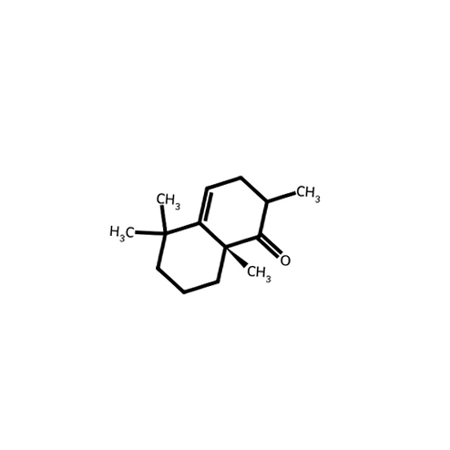 CC1CC=C2C(C)(C)CCC[C@@]2(C)C1=O